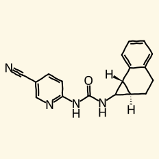 N#Cc1ccc(NC(=O)NC2[C@@H]3CCc4ccccc4[C@@H]23)nc1